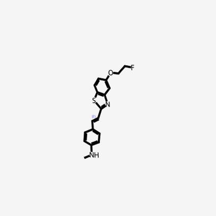 CNc1ccc(/C=C/c2nc3cc(OCCF)ccc3s2)cc1